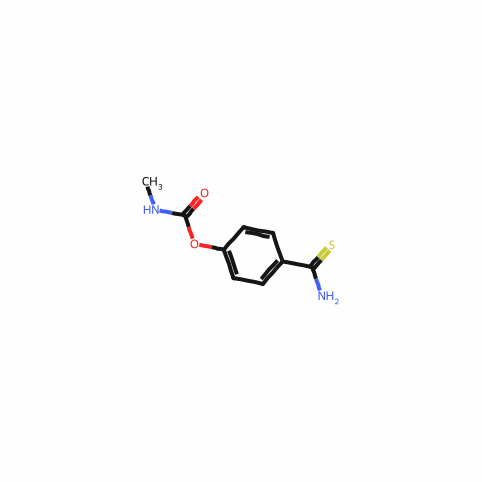 CNC(=O)Oc1ccc(C(N)=S)cc1